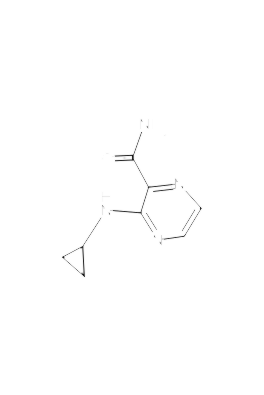 NC(=O)c1nccnc1NC1CC1